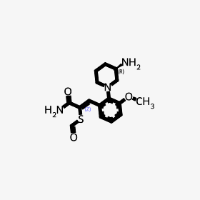 COc1cccc(/C=C(\SC=O)C(N)=O)c1N1CCC[C@@H](N)C1